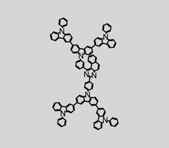 c1ccc(-n2c3ccccc3c3cc(-c4ccc5c(c4)c4cc(-c6ccc7c(c6)c6ccccc6n7-c6ccccc6)ccc4n5-c4ccc(-c5nc(-c6cccc(-n7c8ccc(-c9ccc%10c(c9)c9ccccc9n%10-c9ccccc9)cc8c8cc(-c9ccc%10c(c9)c9ccccc9n%10-c9ccccc9)ccc87)c6)c6c(ccc7ccccc76)n5)cc4)ccc32)cc1